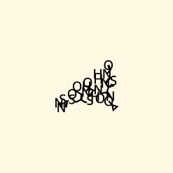 O=CNc1nc(/C(=N/OC2CC2)C(=O)N[C@@H]2C(=O)N3C(C(=O)O)=C(CSc4cnns4)CS[C@H]23)cs1